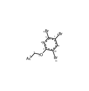 CC(=O)COc1nc(Br)c(Br)cc1Br